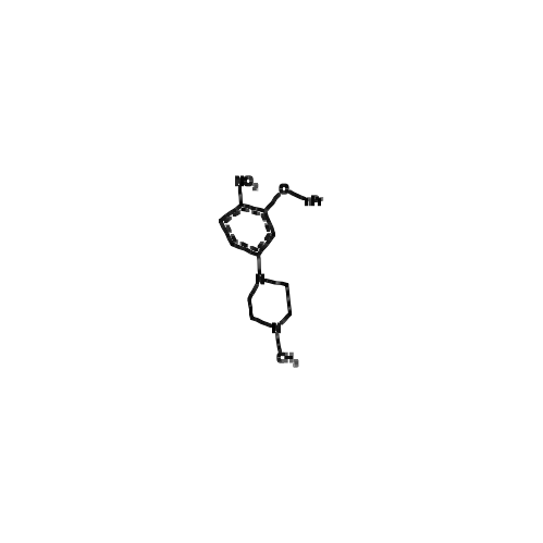 CCCOc1cc(N2CCN(C)CC2)ccc1[N+](=O)[O-]